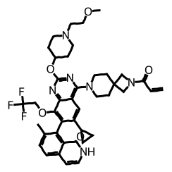 C=CC(=O)N1CC2(CCN(c3nc(OC4CCN(CCOC)CC4)nc4c(OCC(F)(F)F)c(-c5c(C)ccc6cc[nH]c(=O)c56)c(C5CC5)cc34)CC2)C1